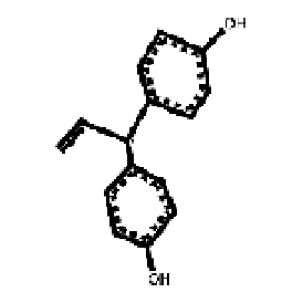 C=C[C](c1ccc(O)cc1)c1ccc(O)cc1